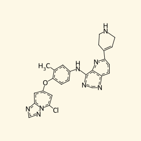 Cc1cc(Nc2ncnc3ccc(C4=CCNCC4)nc23)ccc1Oc1cc(Cl)n2ncnc2c1